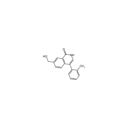 Cc1ccccc1-c1c[nH]c(=O)c2cc(CO)ccc12